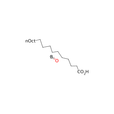 CCCCCCCCCCCCCCCCCC(=O)O.[B]=O